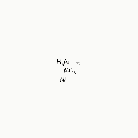 [AlH3].[AlH3].[Ni].[Ti]